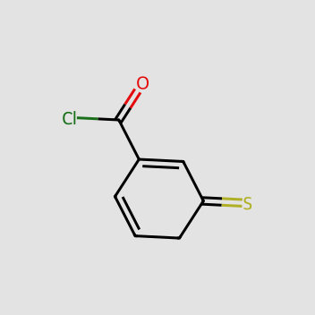 O=C(Cl)C1=CC(=S)CC=C1